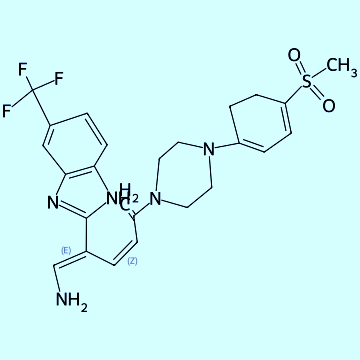 C=C(/C=C\C(=C/N)c1nc2cc(C(F)(F)F)ccc2[nH]1)N1CCN(C2=CC=C(S(C)(=O)=O)CC2)CC1